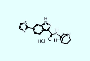 Cl.O=C(N[C@H]1CN2CCC1CC2)c1n[nH]c2cc(-c3nccs3)ccc12